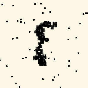 CC(C)(C)OC(=O)NC(=N)N1CCC(CCCCN2CC(CN3CCN(CC(=O)O)CC3)OC2=O)CC1